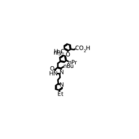 CCCCc1nc(CCc2ccc(CC)cn2)[nH]c(=O)c1Cc1cc(CCC)c(Oc2c(C)cccc2CC(=O)O)c(CCC)c1